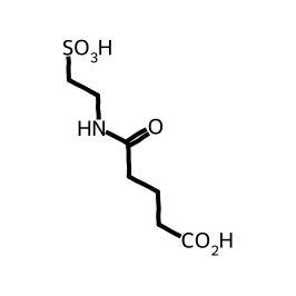 O=C(O)CCCC(=O)NCCS(=O)(=O)O